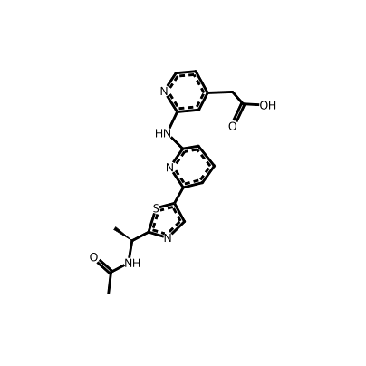 CC(=O)N[C@@H](C)c1ncc(-c2cccc(Nc3cc(CC(=O)O)ccn3)n2)s1